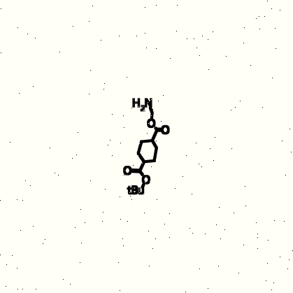 CC(C)(C)OC(=O)C1CCC(C(=O)OCN)CC1